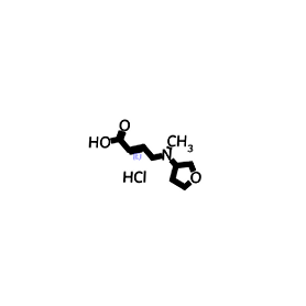 CN(C/C=C/C(=O)O)C1CCOC1.Cl